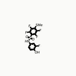 CSc1c(F)c(F)c(S(=O)(=O)Nc2ccc(O)c(F)c2)c(F)c1F